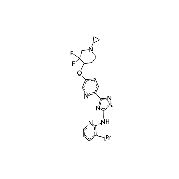 CC(C)c1cccnc1Nc1nc(-c2ccc(OC3CCN(C4CC4)CC3(F)F)cn2)ns1